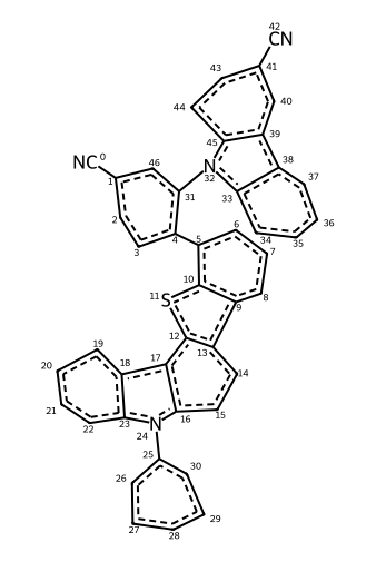 N#Cc1ccc(-c2cccc3c2sc2c3ccc3c2c2ccccc2n3-c2ccccc2)c(-n2c3ccccc3c3cc(C#N)ccc32)c1